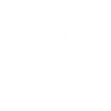 NCCCC(N)C1C=CCCC1